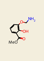 COC(=O)c1cccc(OCN)c1O